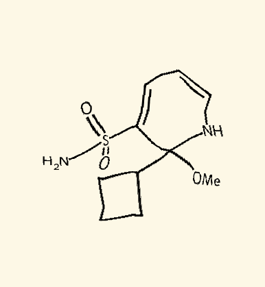 COC1(C2CCC2)NC=CC=C1S(N)(=O)=O